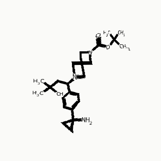 CC(C)(C)CC(c1ccc(C2(N)CC2)cc1)N1CC2(CN(C(=O)OC(C)(C)C)C2)C1